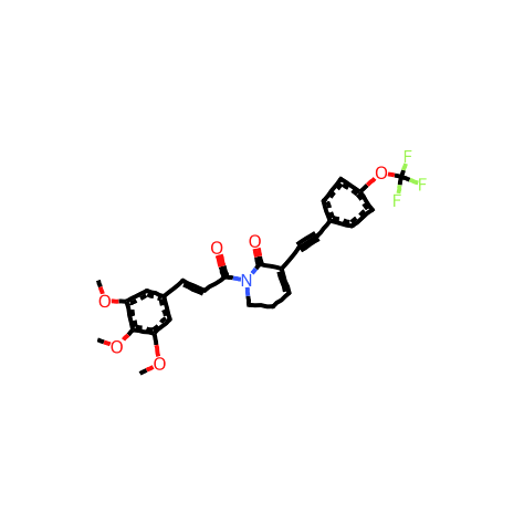 COc1cc(C=CC(=O)N2CCC=C(C#Cc3ccc(OC(F)(F)F)cc3)C2=O)cc(OC)c1OC